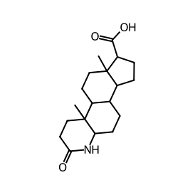 CC12CCC(=O)NC1CCC1C2CCC2(C)C(C(=O)O)CCC12